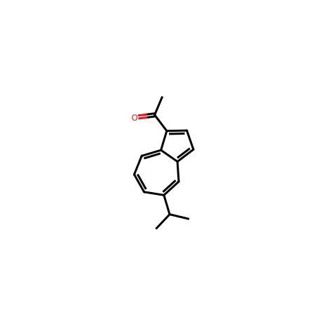 CC(=O)c1ccc2cc(C(C)C)cccc1-2